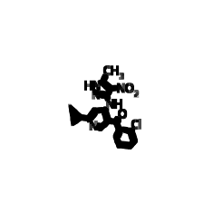 Cc1[nH]nc(Nc2cc(C3CC3)ncc2C(=O)c2ccccc2Cl)c1[N+](=O)[O-]